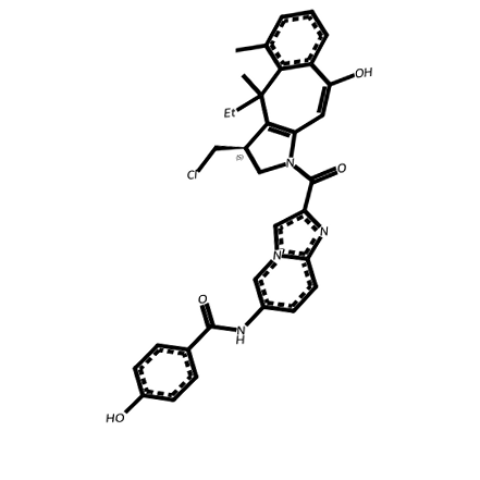 CCC1(C)C2=C(C=C(O)c3cccc(C)c31)N(C(=O)c1cn3cc(NC(=O)c4ccc(O)cc4)ccc3n1)C[C@H]2CCl